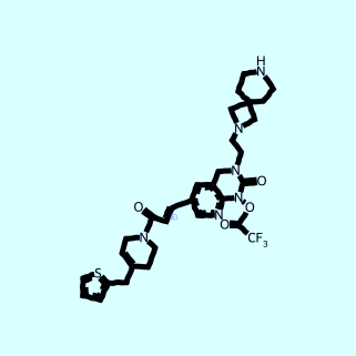 O=C(/C=C/c1cnc2c(c1)CN(CCN1CC3(CCNCC3)C1)C(=O)N2OC(=O)C(F)(F)F)N1CC=C(Cc2cccs2)CC1